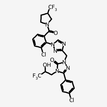 O=C(c1cccc(Cl)c1-n1cnc(Cn2nc(-c3ccc(Cl)cc3)n(CC(O)C(F)(F)F)c2=O)n1)N1CCC(C(F)(F)F)C1